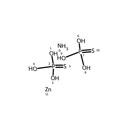 N.OP(O)(O)=S.OP(O)(O)=S.[Zn]